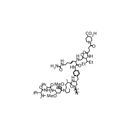 CCC(CC)[C@H](NC(=O)CCC(=O)N1CCC(C(=O)O)CC1)C(=O)CNC(/C=C/CCNC(N)=O)C(=O)Nc1ccc(C[C@@H](CN=[N+]=[N-])NC(=O)[C@H](C)[C@@H](OC)[C@@H]2CCCN2C(=O)C[C@@H](OC)C([C@@H](C)CC)N(C)C(=O)[C@@H](NC(=O)[C@H](C(C)C)N(C)C)C(C)C)cc1